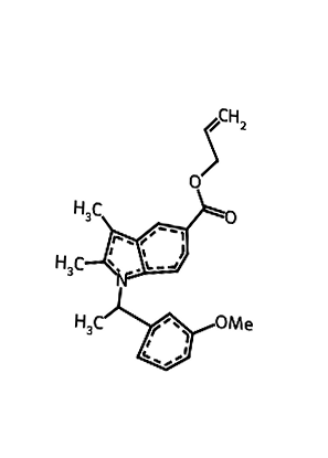 C=CCOC(=O)c1ccc2c(c1)c(C)c(C)n2C(C)c1cccc(OC)c1